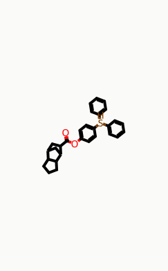 O=C(Oc1ccc([SH](c2ccccc2)c2ccccc2)cc1)C1CC2CC1C1CCCC21